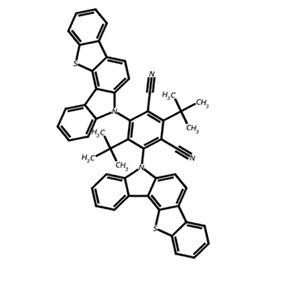 CC(C)(C)c1c(C#N)c(-n2c3ccccc3c3c4sc5ccccc5c4ccc32)c(C(C)(C)C)c(-n2c3ccccc3c3c4sc5ccccc5c4ccc32)c1C#N